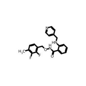 Cc1ccc(CONC(=O)c2ccccc2NCc2ccncc2)c(F)c1F